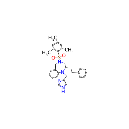 Cc1cc(C)c(S(=O)(=O)N2Cc3ccccc3N(Cc3c[nH]cn3)C(CCc3ccccc3)C2)c(C)c1